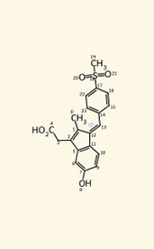 CC1=C(CC(=O)O)c2cc(O)ccc2/C1=C/c1ccc(S(C)(=O)=O)cc1